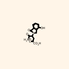 CC(CC(C(N)=O)N1Cc2c(O)cccc2C1=O)C(=O)O